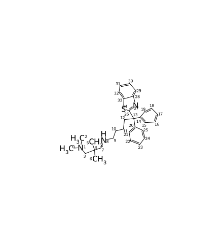 CN(C)CC(C)(C)CNCCCCC(c1ccccc1)(c1ccccc1)c1nc2ccccc2s1